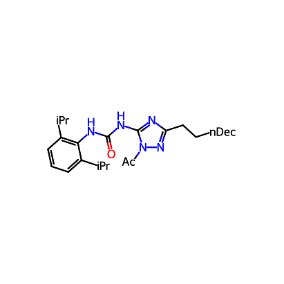 CCCCCCCCCCCCc1nc(NC(=O)Nc2c(C(C)C)cccc2C(C)C)n(C(C)=O)n1